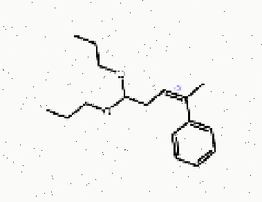 CCCOC(C/C=C(/C)c1ccccc1)OCCC